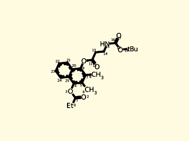 CCC(=O)Oc1c(C)c(C)c(OC(=O)CCNC(=O)OC(C)(C)C)c2ccccc12